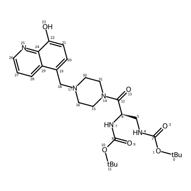 CC(C)(C)OC(=O)NC[C@@H](NC(=O)OC(C)(C)C)C(=O)N1CCN(Cc2ccc(O)c3ncccc23)CC1